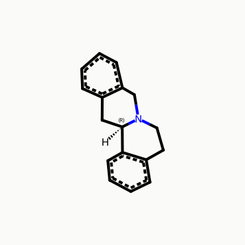 c1ccc2c(c1)C[C@@H]1c3ccccc3CCN1C2